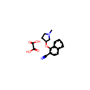 CN1CCC(Oc2c(C#N)ccc3ccccc23)C1.O=C(O)C(=O)O